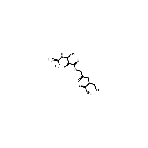 C=C(C)NC(CCC)C(=O)C(=O)NCC(=O)NC(CC(C)C)C(N)=O